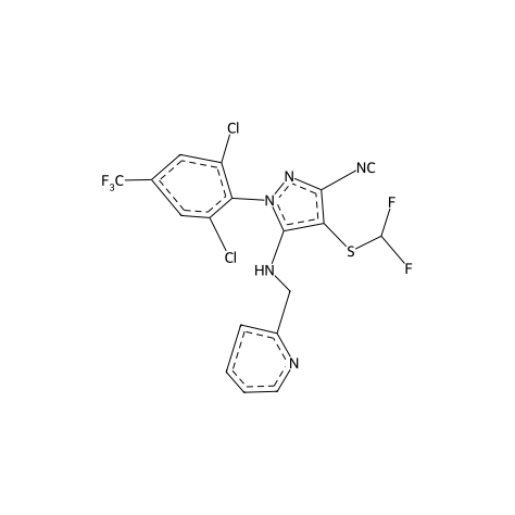 [C-]#[N+]c1nn(-c2c(Cl)cc(C(F)(F)F)cc2Cl)c(NCc2ccccn2)c1SC(F)F